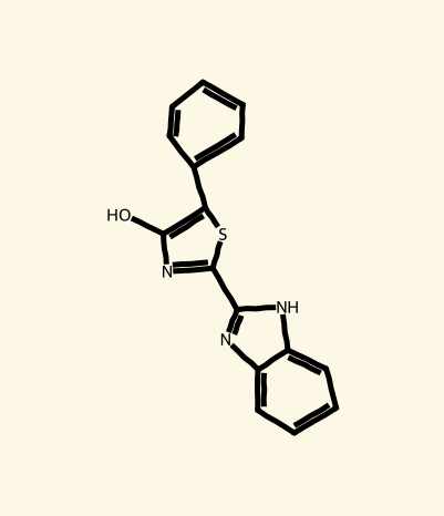 Oc1nc(-c2nc3ccccc3[nH]2)sc1-c1ccccc1